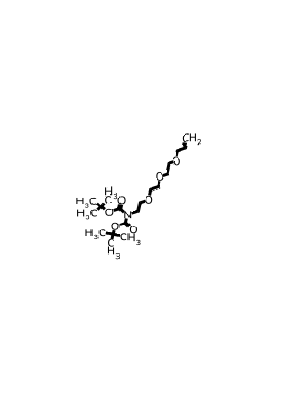 C=CCOCCOCCOCCN(C(=O)OC(C)(C)C)C(=O)OC(C)(C)C